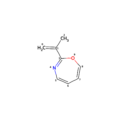 C=C(C)C1=NC=CC=CO1